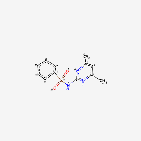 Cc1cc(C)nc(NS(=O)(=O)c2cc[c]cc2)n1